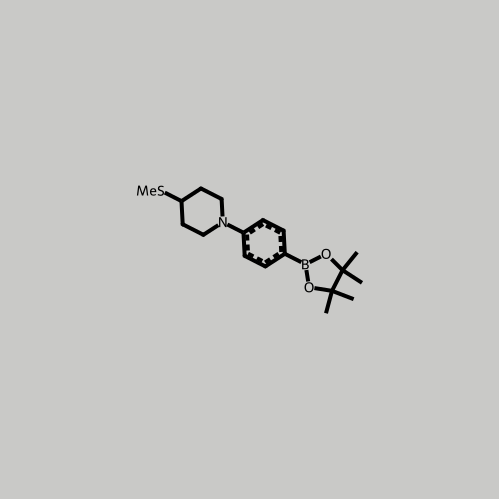 CSC1CCN(c2ccc(B3OC(C)(C)C(C)(C)O3)cc2)CC1